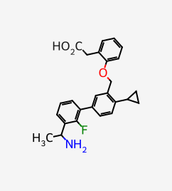 CC(N)c1cccc(-c2ccc(C3CC3)c(COc3ccccc3CC(=O)O)c2)c1F